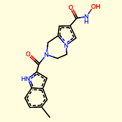 Cc1ccc2[nH]c(C(=O)N3CCn4cc(C(=O)NO)cc4C3)cc2c1